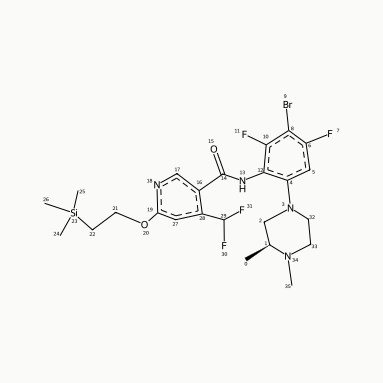 C[C@H]1CN(c2cc(F)c(Br)c(F)c2NC(=O)c2cnc(OCC[Si](C)(C)C)cc2C(F)F)CCN1C